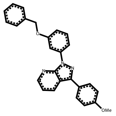 COc1ccc(-c2nn(-c3cccc(OCc4ccccc4)c3)c3ncccc23)cc1